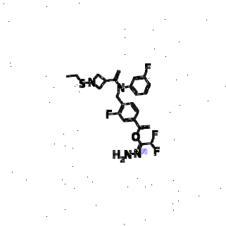 C=C(O/C(=N\N)C(F)F)c1ccc(CN(C(=C)C2CN(SCC)C2)c2cccc(F)c2)c(F)c1